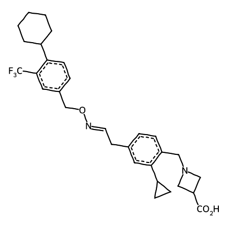 O=C(O)C1CN(Cc2ccc(CC=NOCc3ccc(C4CCCCC4)c(C(F)(F)F)c3)cc2C2CC2)C1